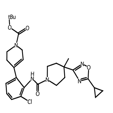 CC(C)(C)OC(=O)N1CC=C(c2cccc(Cl)c2NC(=O)N2CCC(C)(c3noc(C4CC4)n3)CC2)CC1